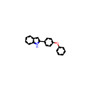 c1ccc(Oc2ccc(-c3cc4ccccc4[nH]3)cc2)cc1